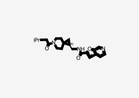 CC(C)CC(=O)N1CCC2(CC1)C[C@H]2CNC(=O)c1cc2ccncc2o1